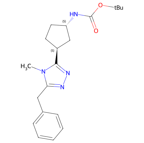 Cn1c(Cc2ccccc2)nnc1[C@H]1CC[C@H](NC(=O)OC(C)(C)C)C1